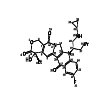 CC[C@@]1(O)C(=O)OCc2c1cc1n(c2=O)Cc2c-1c(=O)c1cc(F)ccc1n2[C@H](CNC1CC1)CC(C)C